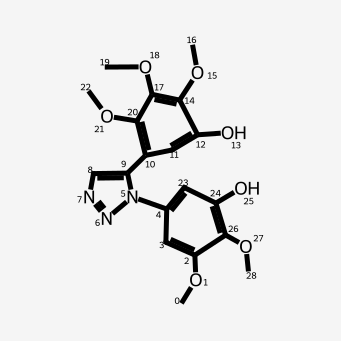 COc1cc(-n2nncc2-c2cc(O)c(OC)c(OC)c2OC)cc(O)c1OC